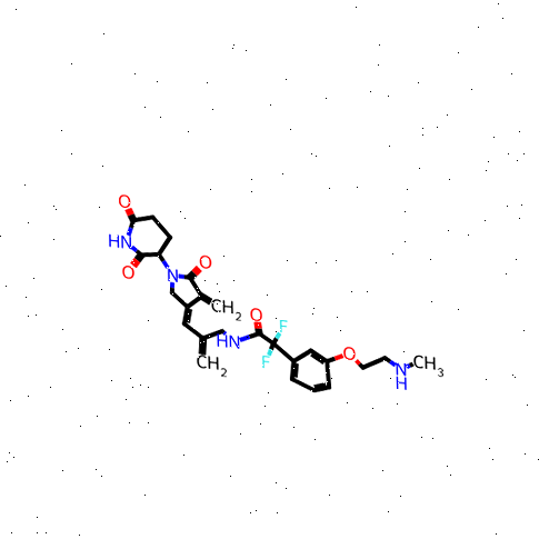 C=C(/C=C1/CN(C2CCC(=O)NC2=O)C(=O)C1=C)CNC(=O)C(F)(F)c1cccc(OCCNC)c1